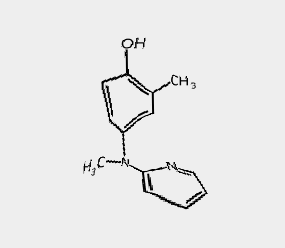 Cc1cc(N(C)c2ccccn2)ccc1O